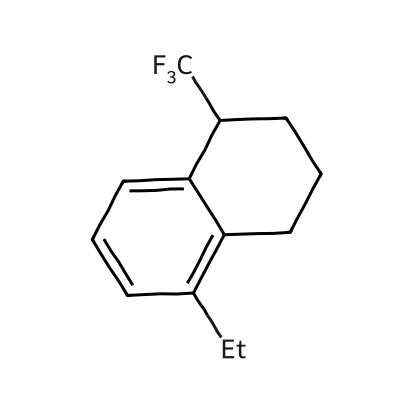 CCc1cccc2c1CCCC2C(F)(F)F